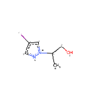 CC(CO)n1cc(I)cn1